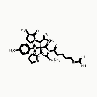 CC(=O)N(C(=O)[C@@H](N)CCCNC(=N)N)C(=O)[C@@](C(=O)[C@@H]1CCCN1)(C(C(C)C)N1CCC(N)C1=O)S(=O)(=O)c1ccc(C)cc1